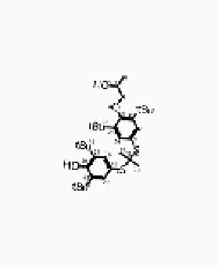 CC(O)COc1c(C(C)(C)C)cc(SC(C)(C)Sc2cc(C(C)(C)C)c(O)c(C(C)(C)C)c2)cc1C(C)(C)C